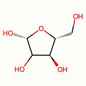 OC[C@H]1O[C@@H](O)C(O)[C@@H]1O